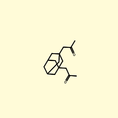 CC(=O)CC12CC3CC(C1)CC(CC(C)=O)(C3)C2